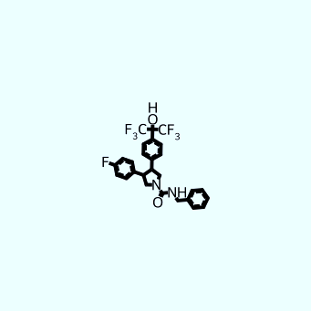 O=C(NCc1ccccc1)N1CC(c2ccc(F)cc2)C(c2ccc(C(O)(C(F)(F)F)C(F)(F)F)cc2)C1